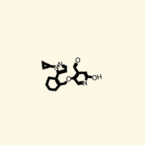 O=Cc1cc(O)ncc1OCC1=C(c2ccnn2C2CC2)CCCC1